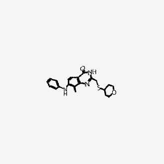 Cc1c(Nc2ccccc2)ccc2c(=O)[nH]c(CSC3CCOCC3)nc12